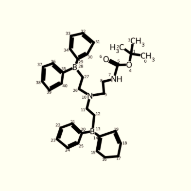 CC(C)(C)OC(=O)NCCN(CCB(C1=CCCC=C1)c1ccccc1)CCB(c1ccccc1)c1ccccc1